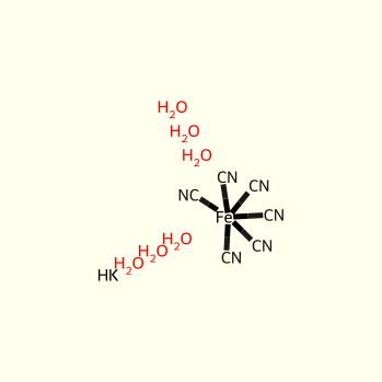 N#[C][Fe]([C]#N)([C]#N)([C]#N)([C]#N)[C]#N.O.O.O.O.O.O.[KH]